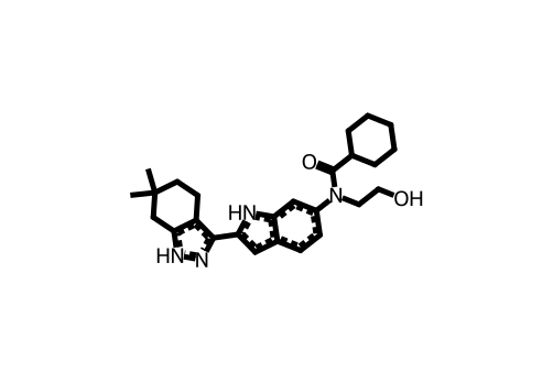 CC1(C)CCc2c(-c3cc4ccc(N(CCO)C(=O)C5CCCCC5)cc4[nH]3)n[nH]c2C1